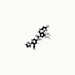 CC1(C)C[C@@H](C(=O)Nc2cnc(-n3nccn3)c(C#N)c2)c2cnc3cc(Cl)nn3c21